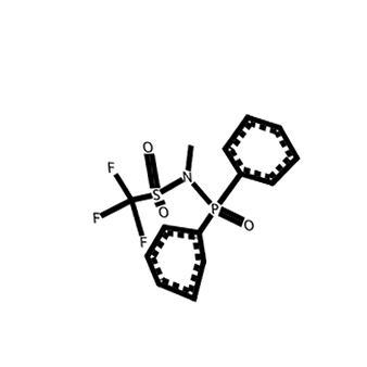 CN(P(=O)(c1ccccc1)c1ccccc1)S(=O)(=O)C(F)(F)F